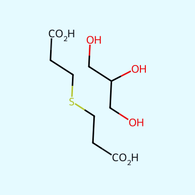 O=C(O)CCSCCC(=O)O.OCC(O)CO